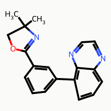 CC1(C)COC(c2cccc(-c3cccc4nccnc34)c2)=N1